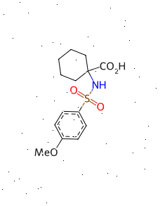 COc1ccc(S(=O)(=O)NC2(C(=O)O)CCCCC2)cc1